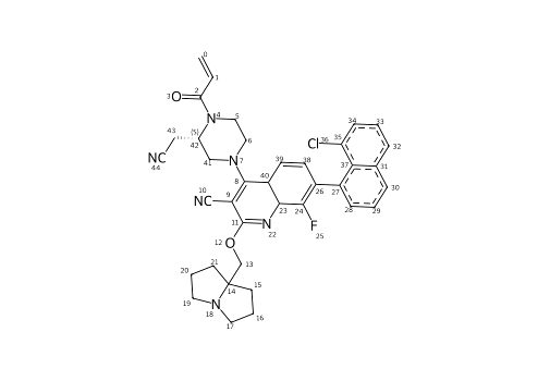 C=CC(=O)N1CCN(C2=C(C#N)C(OCC34CCCN3CCC4)=NC3C(F)=C(c4cccc5cccc(Cl)c45)C=CC23)C[C@@H]1CC#N